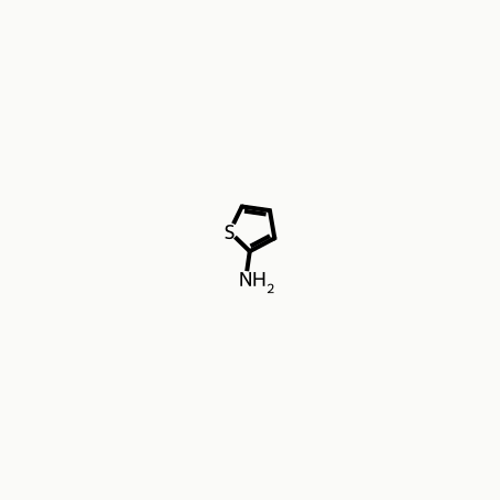 Nc1cccs1